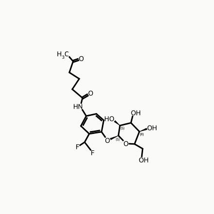 CC(=O)CCCC(=O)Nc1ccc(O[C@@H]2OC(CO)[C@H](O)C(O)[C@@H]2O)c(C(F)F)c1